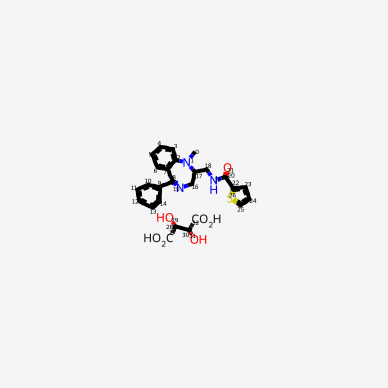 CN1c2ccccc2C(c2ccccc2)=NCC1CNC(=O)c1cccs1.O=C(O)C(O)C(O)C(=O)O